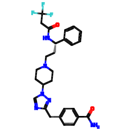 NC(=O)c1ccc(Cc2ncn(C3CCN(CC[C@H](NC(=O)CC(F)(F)F)c4ccccc4)CC3)n2)cc1